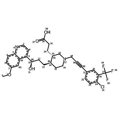 COc1ccc2nccc([C@H](O)CC[C@@H]3CCN(CC#Cc4ccc(Cl)c(C(F)(F)F)c4)C[C@H]3CCC(=O)O)c2c1